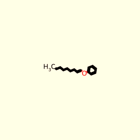 CCCCCCCC=COc1ccccc1